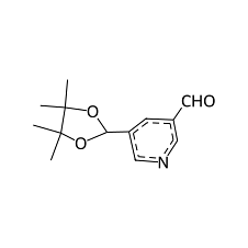 CC1(C)OC(c2cncc(C=O)c2)OC1(C)C